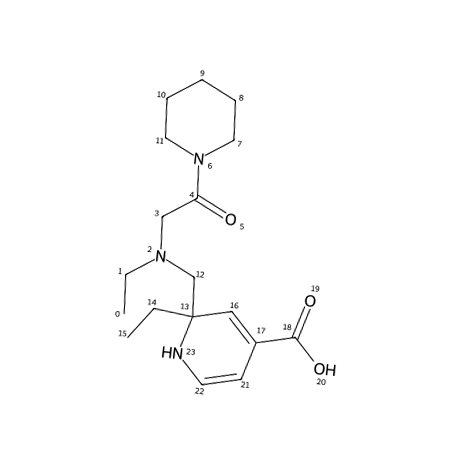 CCN(CC(=O)N1CCCCC1)CC1(CC)C=C(C(=O)O)C=CN1